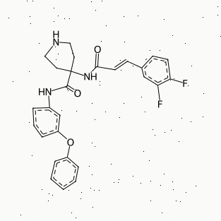 O=C(C=Cc1ccc(F)c(F)c1)NC1(C(=O)Nc2cccc(Oc3ccccc3)c2)CCNCC1